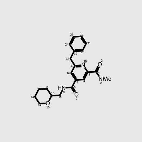 CNC(=O)c1cc(C(=O)NCC2CCCCO2)cc(Cc2ccccc2)n1